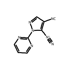 [C-]#[N+]c1cnn(-c2ncccn2)c1[N+]#N